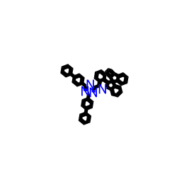 c1ccc(-c2ccc(-c3nc(-c4ccc(-c5ccccc5)cc4)nc(-c4nc5c(c6ccccc46)C4(c6ccccc6-c6ccccc64)c4ccccc4-5)n3)cc2)cc1